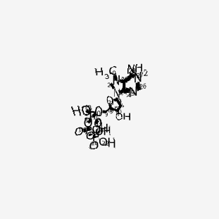 CN1CN([C@H]2C[C@H](O)[C@@H](COP(=O)(O)OP(=O)(O)OP(=O)(O)O)O2)c2ncnc(N)c21